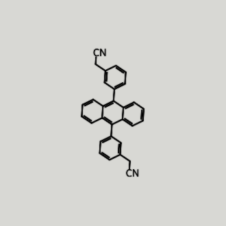 N#CCc1cccc(-c2c3ccccc3c(-c3cccc(CC#N)c3)c3ccccc23)c1